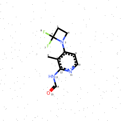 Cc1c(N2CCC2(F)F)ccnc1N[C]=O